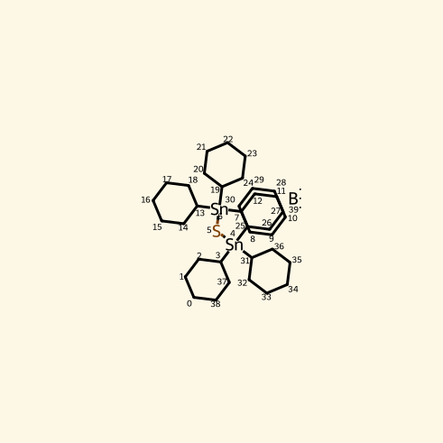 C1CC[CH]([Sn]([S][Sn]([CH]2CCCCC2)([CH]2CCCCC2)[CH]2CCCCC2)([CH]2CCCCC2)[CH]2CCCCC2)CC1.[B]